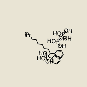 CC(C)CCCCCCC(c1ccccc1)P(O)(O)(O)c1ccccc1.OP(O)O.OP(O)O